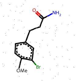 COc1ccc([CH]CC(N)=O)cc1Br